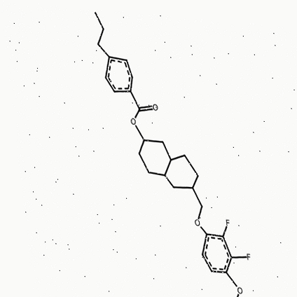 CCCc1ccc(C(=O)OC2CCC3CC(COc4ccc(OCC)c(F)c4F)CCC3C2)cc1